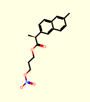 Cc1ccc2cc([C@H](C)C(=O)OCCCO[N+](=O)[O-])ccc2c1